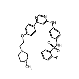 CN1CCN(CCOc2ccc(-c3cc(Nc4ccc(NS(=O)(=O)c5ccccc5F)cc4)ncn3)cc2)CC1